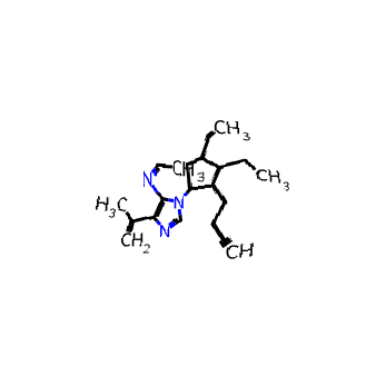 C#CCCC1C(CC)C(CC)CC1n1cnc(C(=C)C)c1/N=C\C